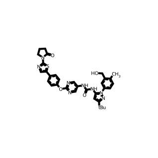 Cc1ccc(-n2nc(C(C)(C)C)cc2NC(=O)Nc2cnc(Oc3ccc(-c4cnc(N5CCCC5=O)s4)cc3)nc2)cc1CO